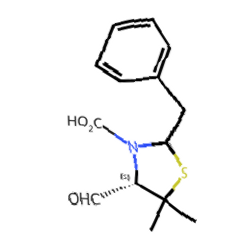 CC1(C)SC(Cc2ccccc2)N(C(=O)O)[C@H]1C=O